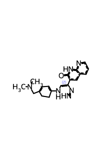 CN(C)CC1=CC=C(N/C=C(\N=N)c2cc3cccnc3[nH]c2=O)CC1